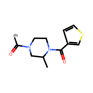 CC(C)C(=O)N1CCN(C(=O)c2ccsc2)C(C)C1